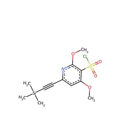 COc1cc(C#C[Si](C)(C)C)nc(OC)c1S(=O)(=O)Cl